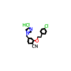 Cl.N#Cc1ccc(Cn2ccnc2)cc1OCCc1ccc(Cl)cc1